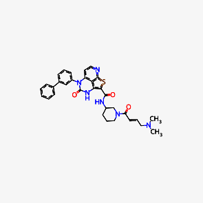 CN(C)CC=CC(=O)N1CCCC(NC(=O)c2sc3nccc4c3c2NC(=O)N4c2cccc(-c3ccccc3)c2)C1